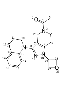 CC(=O)N1CCc2c(c(N3CCSc4ccccc43)nn2C2COC2)C1